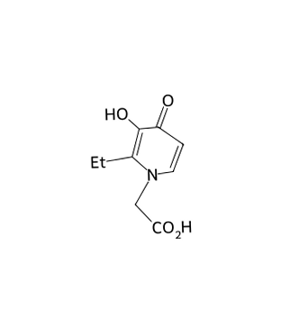 CCc1c(O)c(=O)ccn1CC(=O)O